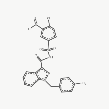 Cc1ccc(Cn2nc(C(=O)NS(=O)(=O)c3ccc(Cl)c([N+](=O)[O-])c3)c3ccccc32)cc1